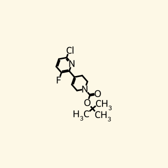 CC(C)(C)OC(=O)N1CC=C(c2nc(Cl)ccc2F)CC1